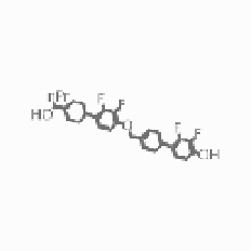 CCCC(O)C1CCC(c2ccc(OCc3ccc(-c4ccc(O)c(F)c4F)cc3)c(F)c2F)CC1